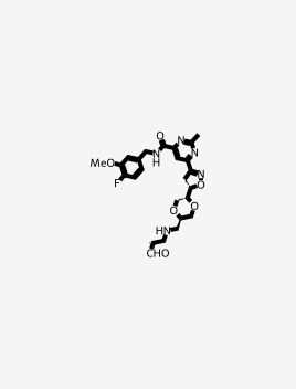 COc1cc(CNC(=O)c2cc(C3=NO[C@H]([C@H]4CO[C@H](CNC[CH]C=O)CO4)C3)nc(C)n2)ccc1F